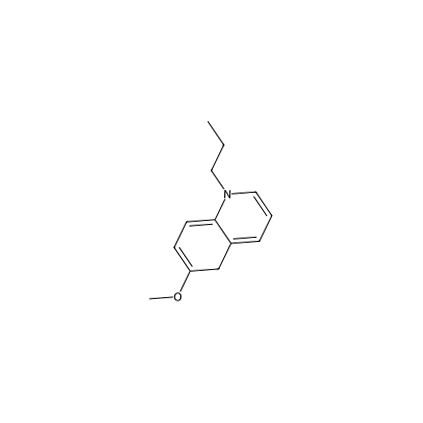 CCCN1C=CC=C2CC(OC)=CC=C21